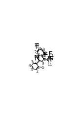 Cc1ccccc1-c1cc(C(C)C(F)(F)F)c2ccc(F)cc2n1